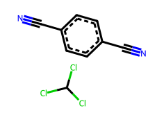 ClC(Cl)Cl.N#Cc1ccc(C#N)cc1